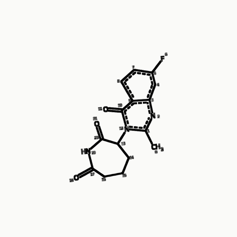 Cc1nc2cc(F)ccc2c(=O)n1C1CCCC(=O)NC1=O